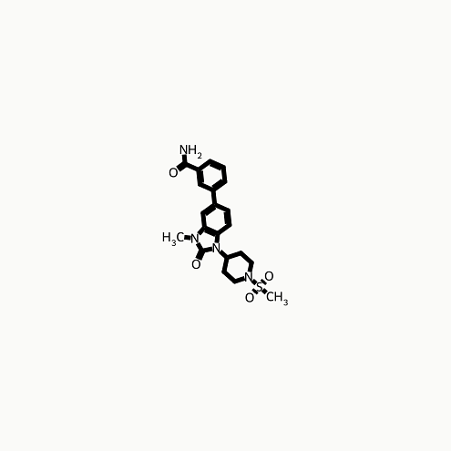 Cn1c(=O)n(C2CCN(S(C)(=O)=O)CC2)c2ccc(-c3cccc(C(N)=O)c3)cc21